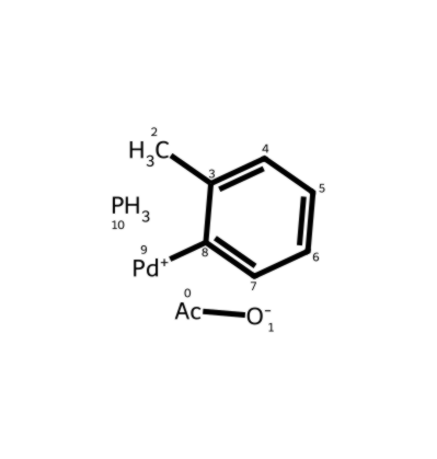 CC(=O)[O-].Cc1cccc[c]1[Pd+].P